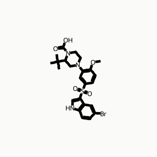 COc1ccc(S(=O)(=O)c2c[nH]c3ccc(Br)cc23)cc1N1CCN(C(=O)O)C(C(C)(C)C)C1